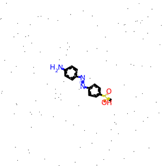 C=S(=O)(O)c1ccc(/N=N/c2ccc(N)cc2)cc1